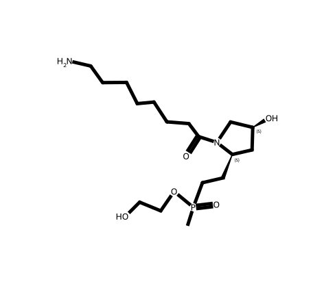 CP(=O)(CC[C@@H]1C[C@H](O)CN1C(=O)CCCCCCCN)OCCO